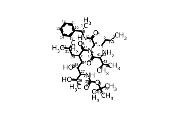 CSCC[C@@H](C(=O)N[C@@H](C)c1ccccc1)N(C(=O)[C@H](CC(C)C)C[C@@H](O)[C@@H](NC(=O)OC(C)(C)C)[C@@H](C)O)C(=O)[C@@H](N)C(C)C